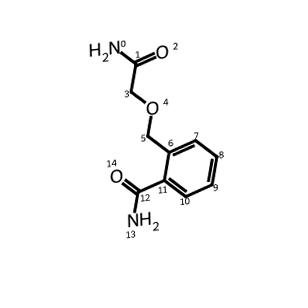 NC(=O)COCc1ccccc1C(N)=O